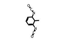 CC1C(N=C=O)=CC=CC1N=C=O